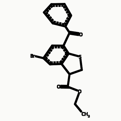 CCOC(=O)C1CSc2c(C(=O)c3ccccc3)cc(Br)cc21